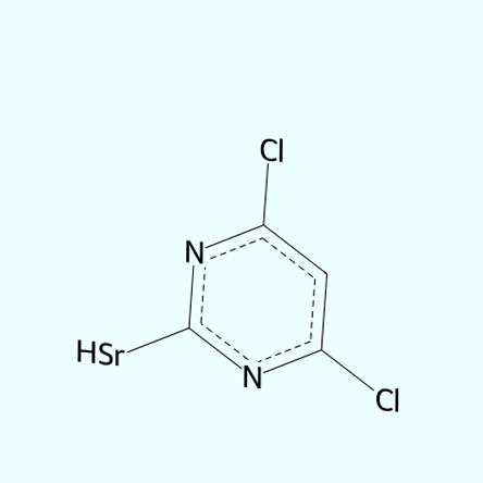 Clc1cc(Cl)n[c]([SrH])n1